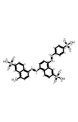 Nc1ccc(/N=N/c2ccc(/N=N/c3ccc(S(=O)(=O)O)cc3)c3cc(S(=O)(=O)O)ccc23)c2ccc(S(=O)(=O)O)cc12